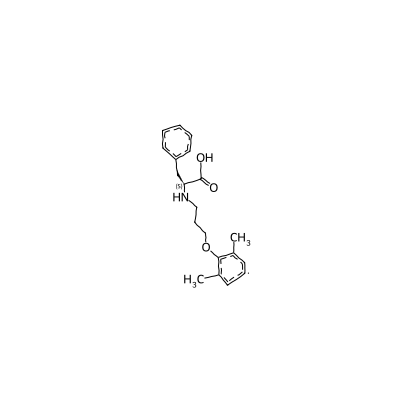 Cc1c[c]cc(C)c1OCCCN[C@@H](Cc1ccccc1)C(=O)O